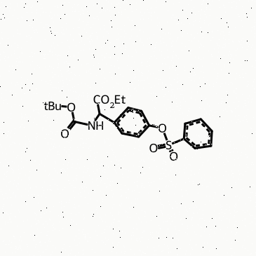 CCOC(=O)C(NC(=O)OC(C)(C)C)c1ccc(OS(=O)(=O)c2ccccc2)cc1